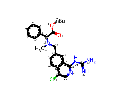 CCCCOC(=O)[C@H](c1ccccc1)N(C)Cc1ccc2c(Cl)cnc(NC(=N)N)c2c1